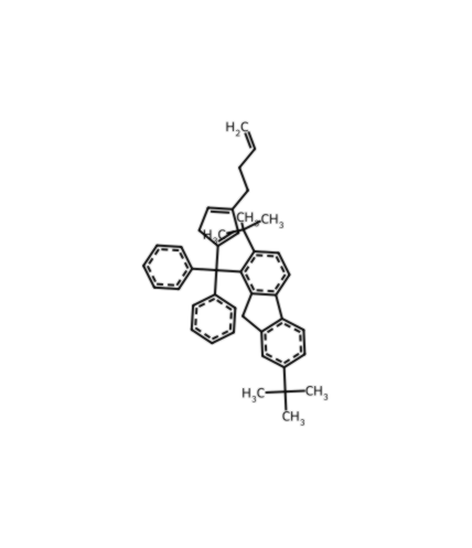 C=CCCC1=CCC(C(c2ccccc2)(c2ccccc2)c2c(C(C)(C)C)ccc3c2Cc2cc(C(C)(C)C)ccc2-3)=C1